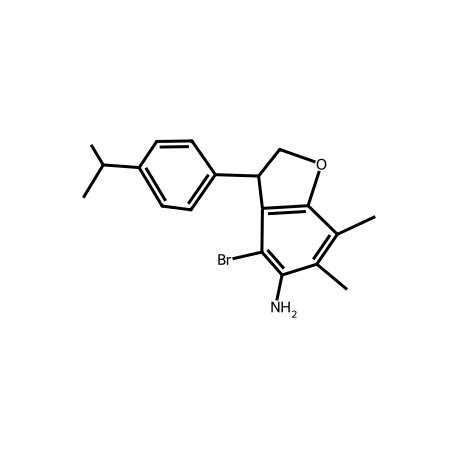 Cc1c(C)c2c(c(Br)c1N)C(c1ccc(C(C)C)cc1)CO2